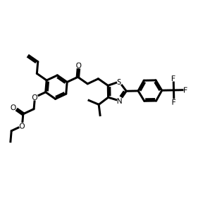 C=CCc1cc(C(=O)CCc2sc(-c3ccc(C(F)(F)F)cc3)nc2C(C)C)ccc1OCC(=O)OCC